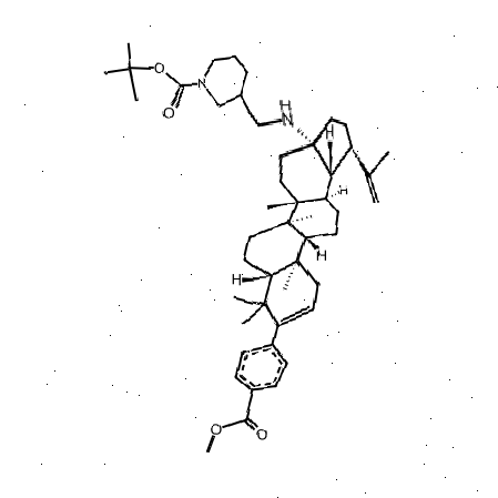 C=C(C)[C@@H]1CC[C@]2(NCC3CCCN(C(=O)OC(C)(C)C)C3)CC[C@]3(C)[C@H](CC[C@@H]4[C@@]5(C)CC=C(c6ccc(C(=O)OC)cc6)C(C)(C)[C@@H]5CC[C@]43C)[C@@H]12